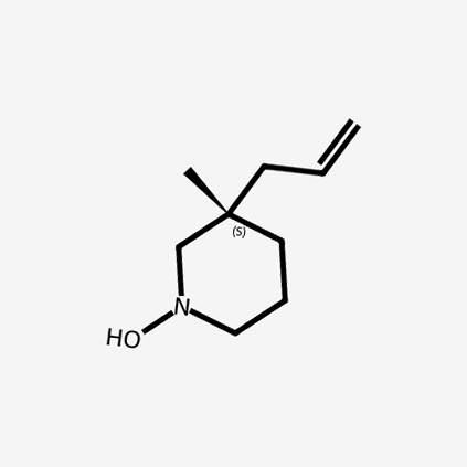 C=CC[C@]1(C)CCCN(O)C1